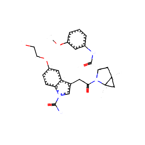 NC(=O)n1cc(CC(=O)N2[C@@H]3C[C@@H]3C[C@H]2C(=O)Nc2cccc(OC(F)(F)F)c2)c2cc(OCCO)ccc21